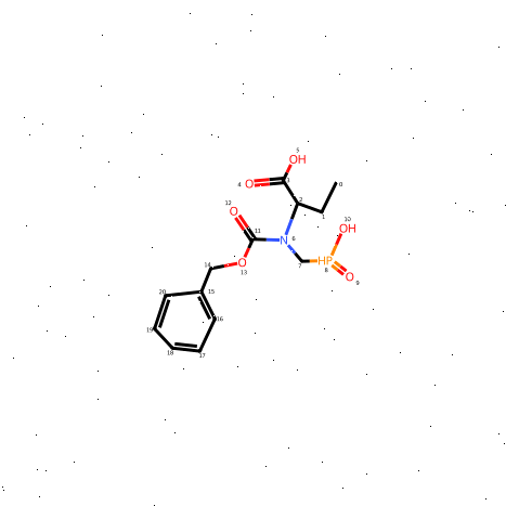 CCC(C(=O)O)N(C[PH](=O)O)C(=O)OCc1ccccc1